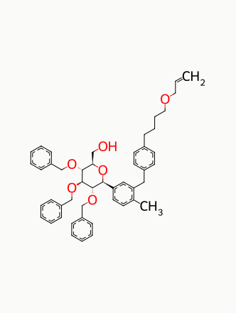 C=CCOCCCCc1ccc(Cc2cc([C@@H]3O[C@H](CO)[C@@H](OCc4ccccc4)[C@H](OCc4ccccc4)[C@H]3OCc3ccccc3)ccc2C)cc1